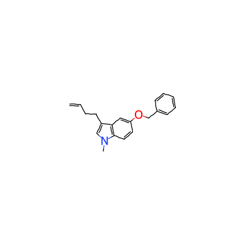 C=CCCc1cn(C)c2ccc(OCc3ccccc3)cc12